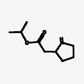 CC(C)OC(=O)CC1CCCN1